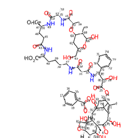 CC1=C2[C@@H](O)C(=O)[C@@]3(C)[C@H]([C@H](OC(=O)c4ccccc4)[C@](O)(C[C@@H]1OC(=O)[C@H](O)[C@H](NC(=O)CC(=O)NCCCCC(NC(=O)CC[C@@H](C=O)NC(=O)[C@H](C)NC(=O)C(C)OC1CC(CO)OC(O)C1C)C(=O)O)c1ccccc1)C2(C)C)[C@]1(O)CO[C@@H]1C[C@@H]3O